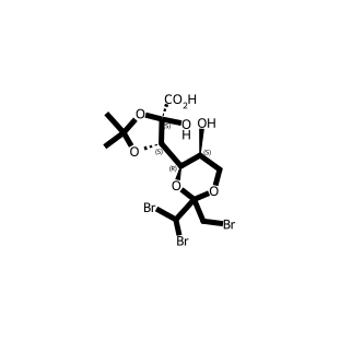 CC1(C)O[C@@H]([C@@H]2OC(CBr)(C(Br)Br)OC[C@@H]2O)[C@@](O)(C(=O)O)O1